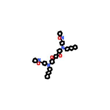 c1ccc2cc3cc(N(c4ccc(-c5nc6ccccc6o5)cc4)c4ccc5c(c4)oc4cc6c(cc45)oc4cc(N(c5ccc(-c7nc8ccccc8o7)cc5)c5ccc7cc8ccccc8cc7c5)ccc46)ccc3cc2c1